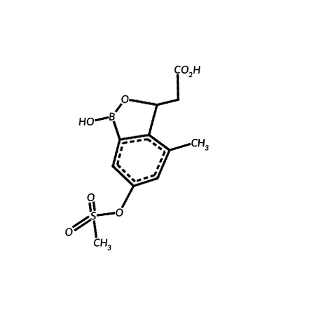 Cc1cc(OS(C)(=O)=O)cc2c1C(CC(=O)O)OB2O